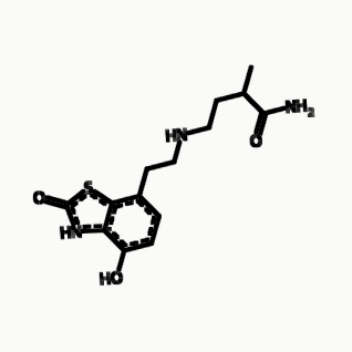 CC(CCNCCc1ccc(O)c2[nH]c(=O)sc12)C(N)=O